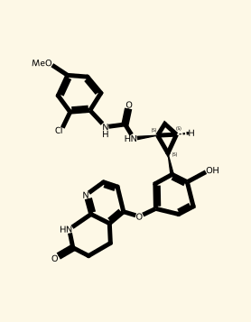 COc1ccc(NC(=O)N[C@@]23C[C@H]2[C@H]3c2cc(Oc3ccnc4c3CCC(=O)N4)ccc2O)c(Cl)c1